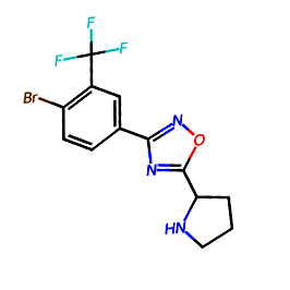 FC(F)(F)c1cc(-c2noc(C3CCCN3)n2)ccc1Br